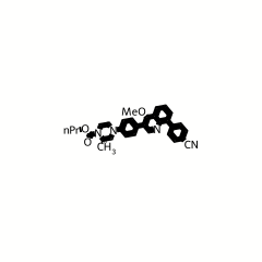 CCCOC(=O)N1CCN(c2ccc(-c3cnc4c(-c5ccc(C#N)cc5)cccc4c3OC)cc2)C[C@@H]1C